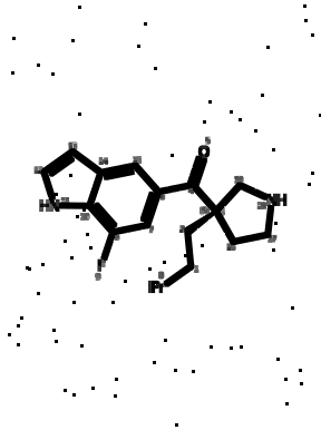 CC(C)CC[C@]1(C(=O)c2cc(F)c3[nH]ccc3c2)CCNC1